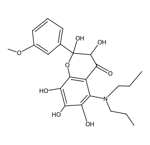 CCCN(CCC)c1c(O)c(O)c(O)c2c1C(=O)C(O)C(O)(c1cccc(OC)c1)O2